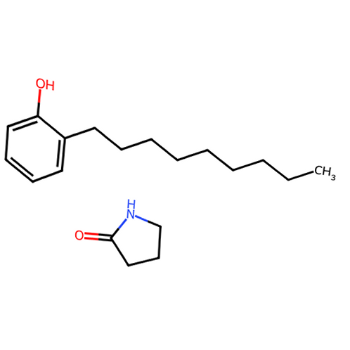 CCCCCCCCCc1ccccc1O.O=C1CCCN1